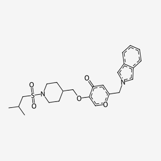 CC(C)CS(=O)(=O)N1CCC(COc2coc(Cn3cc4ccccc4c3)cc2=O)CC1